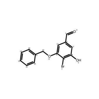 O=Cc1cc(O)c(Br)c(OCc2ccccc2)c1